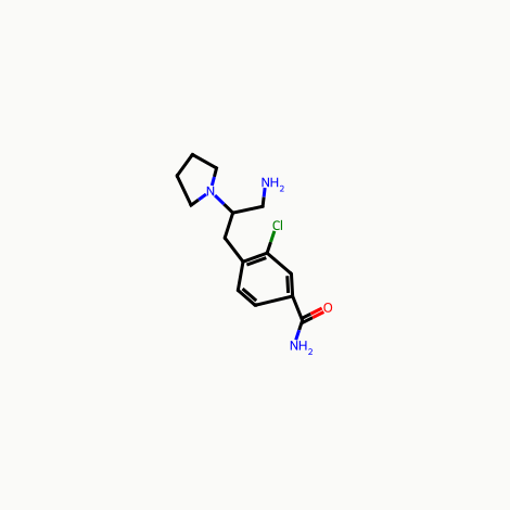 NCC(Cc1ccc(C(N)=O)cc1Cl)N1CCCC1